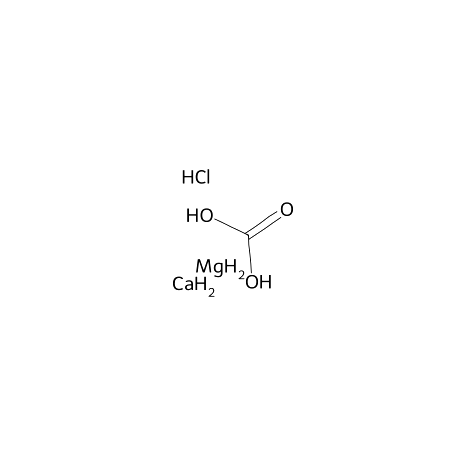 Cl.O=C(O)O.[CaH2].[MgH2]